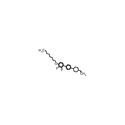 C=CC1CCC(c2ccc(-c3ccc(OCCCCCCCC)c(F)c3F)cc2)CC1